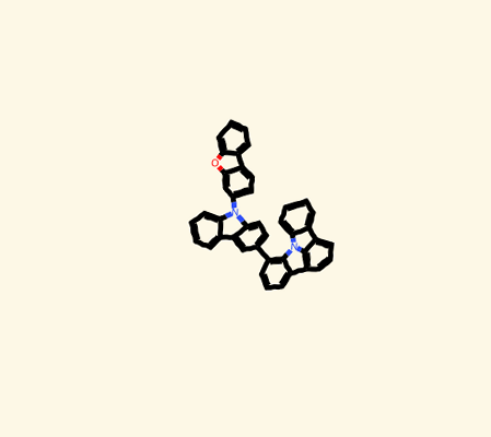 c1ccc2c(c1)oc1cc(-n3c4ccccc4c4cc(-c5cccc6c7cccc8c9ccccc9n(c56)c87)ccc43)ccc12